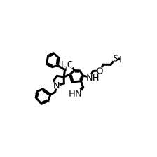 Cc1cc(NCOCCSI)c(C=N)cc1C1(Cc2ccccc2)CCN(Cc2ccccc2)C1